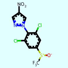 O=[N+]([O-])c1cnn(-c2c(Cl)cc([S+]([O-])C(F)(F)F)cc2Cl)c1